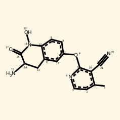 Cc1ccnc(Oc2ccc3c(c2)CC(N)C(=O)N3O)c1C#N